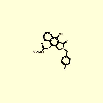 CCCCNC(=O)Oc1c2c(c(O)c3ncccc13)C(=O)N(Cc1ccc(F)cc1)C2